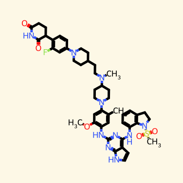 COc1cc(N2CCC(N(C)CCC3CCN(c4ccc(C5CCC(=O)NC5=O)c(F)c4)CC3)CC2)c(C)cc1Nc1nc(Nc2cccc3c2N(S(C)(=O)=O)CC3)c2cc[nH]c2n1